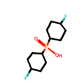 O=P(O)(C1CCC(F)CC1)C1CCC(F)CC1